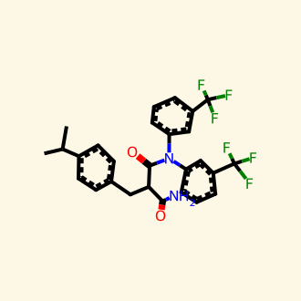 CC(C)c1ccc(CC(C(N)=O)C(=O)N(c2cccc(C(F)(F)F)c2)c2cccc(C(F)(F)F)c2)cc1